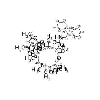 CC[C@H]1OC(=O)[C@H](C)[C@@H](OC(=O)NCC(c2ccccc2)c2ccccc2)[C@H](C)[C@@H](O[C@@H]2O[C@H](C)C[C@H](N(C)C)[C@H]2O)[C@](C)(O)C[C@@H](C)CN(C)[C@H](C)[C@@H](O)[C@]1(C)O